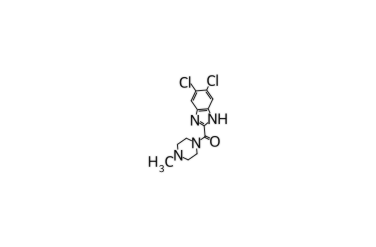 CN1CCN(C(=O)c2nc3cc(Cl)c(Cl)cc3[nH]2)CC1